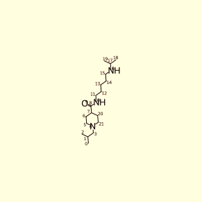 CC(C)CN1CCC(C(=O)NCCCCCNC(C)C)CC1